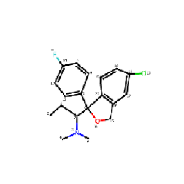 CCC(N(C)C)C1(c2ccc(F)cc2)OCc2cc(Cl)ccc21